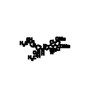 C=CC(=O)Nc1cc(N2CCC(N(C)C)CC2)ccc1Nc1cc2c(cn1)cc(-c1c(Cl)c(OC)cc(OC)c1Cl)c1ncnn12